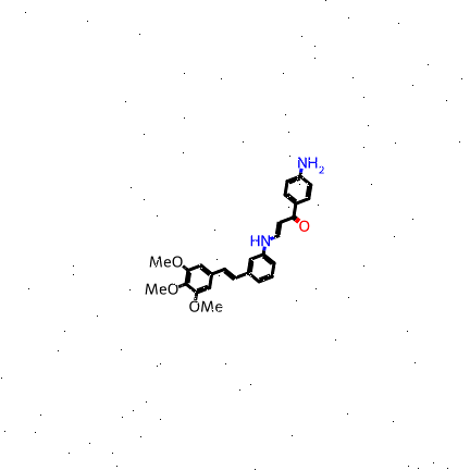 COc1cc(C=Cc2cccc(NC=CC(=O)c3ccc(N)cc3)c2)cc(OC)c1OC